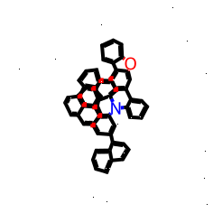 c1ccc(-c2ccc(-c3cccc4ccccc34)cc2N(c2ccccc2-c2ccc3c(c2)oc2ccccc23)c2ccccc2-c2cccc3cccc(-c4ccccc4)c23)cc1